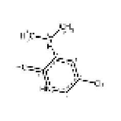 C[SH](C)c1cc(Cl)c[nH]c1=O